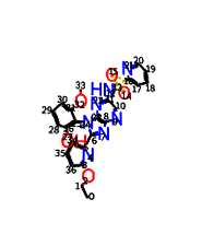 CCOC1=NC(c2nc3ncc(NS(=O)(=O)c4ccccn4)nc3n2-c2c(O)cccc2OC)=C=C=C1